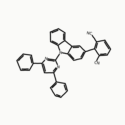 N#Cc1cccc(C#N)c1-c1ccc2c(c1)c1ccccc1n2-c1nc(-c2ccccc2)cc(-c2ccccc2)n1